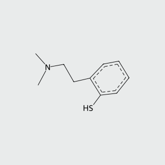 CN(C)CCc1ccccc1S